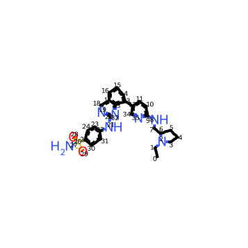 CCN1CCCC1CNc1ccc(-c2cccc3cnc(Nc4ccc(S(N)(=O)=O)cc4)nc23)cn1